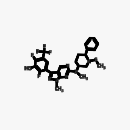 CSN1CC(N(C)c2ncc3c(-c4cc(C(F)(F)F)c(F)c(O)c4F)nn(C)c3n2)CCC1c1ccccc1